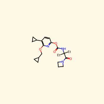 CCC(CC)(NC(=O)Oc1ccc(C2CC2)c(OCC2CC2)n1)C(=O)N1CCC1